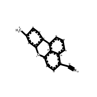 Cc1ccc2c(c1)Oc1ccc(C#N)c3cccc-2c13